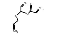 C=CCOC(C=C)OC(=O)C=C